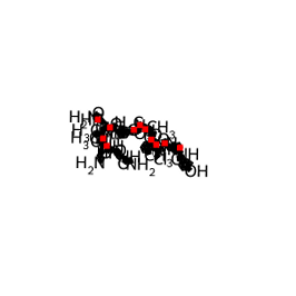 Cc1cccc2c(OC(=O)N(C)CCN(C)C(=O)OCc3ccc(NC(=O)[C@H](CCCNC(N)=O)NC(=O)[C@@H](NC(=O)[C@H](CCCCN)NC(=O)CNC(=O)CNC(=O)CN)C(C)C)cc3)cc3c(c12)[C@H](CCl)CN3C(=O)c1cn2cc(NC(=O)c3ccc(O)cc3)ccc2n1